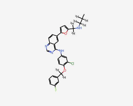 [2H]C([2H])(NC([2H])([2H])C([2H])([2H])C)c1ccc(-c2ccc3ncnc(Nc4ccc(OC([2H])([2H])c5cccc(F)c5)c(Cl)c4)c3c2)o1